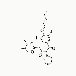 CCNCCOc1c(I)cc(C(=O)c2c(CC(=O)O[C@H](C)C(C)C)oc3ccccc23)cc1I